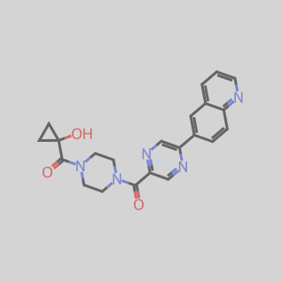 O=C(c1cnc(-c2ccc3ncccc3c2)cn1)N1CCN(C(=O)C2(O)CC2)CC1